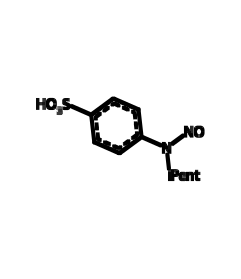 CCCC(C)N(N=O)c1ccc(S(=O)(=O)O)cc1